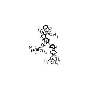 Cn1c(=O)n(-c2c(Cl)cccc2Cl)c(=O)c2cnc3c(cc(-c4cnn(C5CCN(C(=O)OC(C)(C)C)CC5)c4)n3COCC[Si](C)(C)C)c21